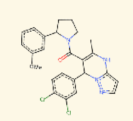 COc1cccc(C2CCCN2C(=O)C2=C(C)Nc3ccnn3C2c2ccc(Cl)c(Cl)c2)c1